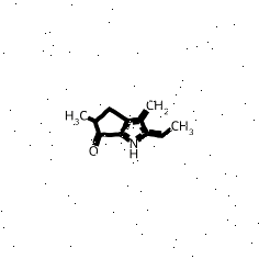 C=c1c2c([nH]/c1=C/C)C(=O)C(C)C2